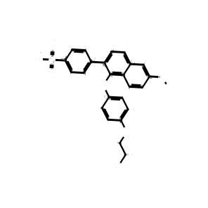 COc1ccc2c(Oc3ccc(OCCBr)cc3)c(-c3ccc(S(C)(=O)=O)cc3)ccc2c1